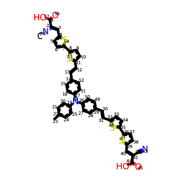 [C-]#[N+]/C(=C\c1ccc(-c2ccc(/C=C/c3ccc(N(c4ccc(C)cc4)c4ccc(/C=C/c5ccc(-c6ccc(/C=C(\C#N)C(=O)O)s6)s5)cc4)cc3)s2)s1)C(=O)O